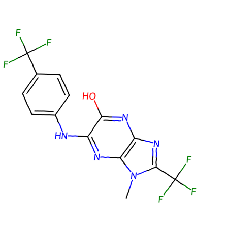 Cn1c(C(F)(F)F)nc2nc(O)c(Nc3ccc(C(F)(F)F)cc3)nc21